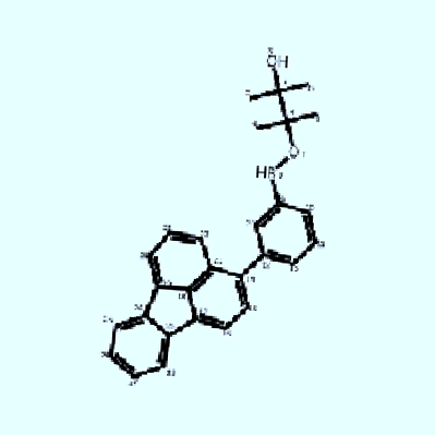 CC(C)(O)C(C)(C)OBc1cccc(-c2ccc3c4c(cccc24)-c2ccccc2-3)c1